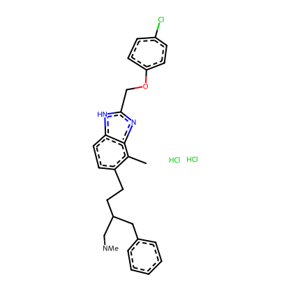 CNCC(CCc1ccc2[nH]c(COc3ccc(Cl)cc3)nc2c1C)Cc1ccccc1.Cl.Cl